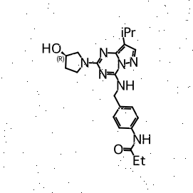 CCC(=O)Nc1ccc(CNc2nc(N3CC[C@@H](O)C3)nc3c(C(C)C)cnn23)cc1